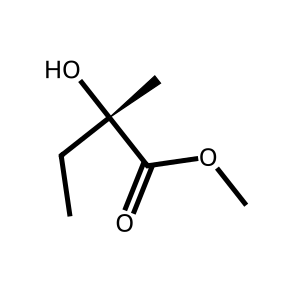 CC[C@](C)(O)C(=O)OC